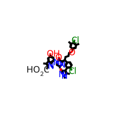 Cc1cc(OCCCc2c3n(c4c(-c5c(C)nn(C)c5C)c(Cl)ccc24)C(C)CN(c2cc(O)cc4c(C)c(C(=O)O)n(C)c24)C3=O)cc(C)c1Cl